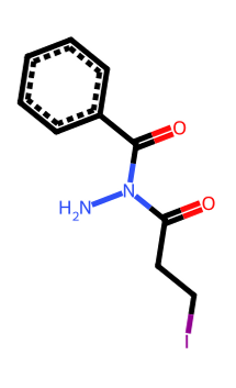 NN(C(=O)CCI)C(=O)c1ccccc1